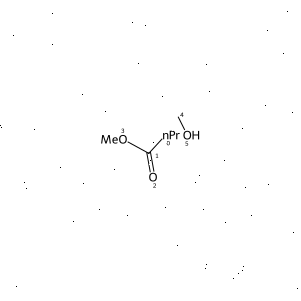 CCCC(=O)OC.CO